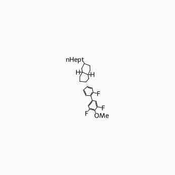 CCCCCCCC1CC[C@@H]2C[C@H](c3ccc(-c4cc(F)c(OC)c(F)c4)c(F)c3)CC[C@@H]2C1